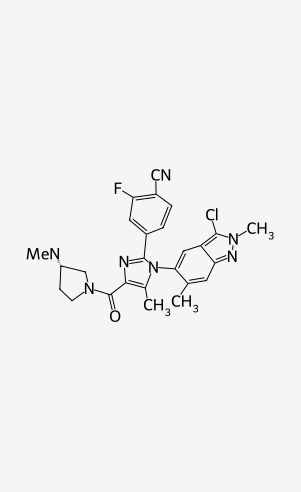 CN[C@H]1CCN(C(=O)c2nc(-c3ccc(C#N)c(F)c3)n(-c3cc4c(Cl)n(C)nc4cc3C)c2C)C1